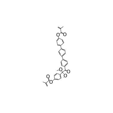 C=C(C)C(=O)Oc1ccc(-c2ccc(-c3ccc(C(=O)C(OC)(OC)c4ccc(OC(=O)C(=C)C)cc4)cc3)cc2)cc1